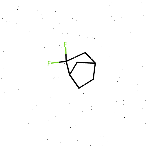 FC1(F)CC2CCC1C2